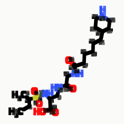 CCC(C)S(=O)(=O)N[C@@H](CNC(=O)CNC(=O)CCCCCC1CCNCC1)C(=O)O